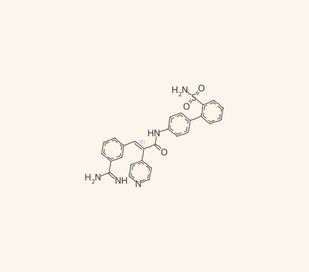 N=C(N)c1cccc(/C=C(/C(=O)Nc2ccc(-c3ccccc3S(N)(=O)=O)cc2)c2ccncc2)c1